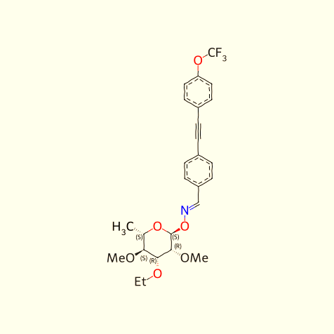 CCO[C@@H]1[C@@H](OC)[C@H](C)O[C@@H](ON=Cc2ccc(C#Cc3ccc(OC(F)(F)F)cc3)cc2)[C@@H]1OC